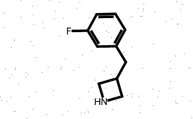 Fc1cccc(CC2CNC2)c1